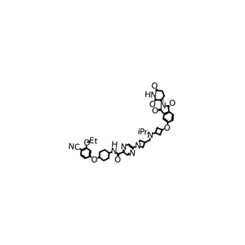 CCOc1cc(OC2CCC(NC(=O)c3cnc(N4CC(CN(C(C)C)C5CC(Oc6ccc7c(c6)C(=O)N([C@@H]6CCC(=O)NC6=O)C7=O)C5)C4)cn3)CC2)ccc1C#N